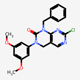 COc1cc(OC)cc(N2Cc3cnc(Cl)nc3N(Cc3ccccc3)C2=O)c1